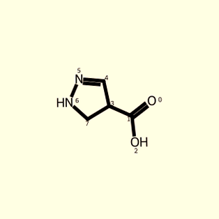 O=C(O)C1C=NNC1